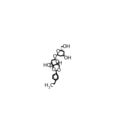 C=Cc1ccc(C2OC[C@H]3O[C@H](OC4C[C@@H](O)C[C@@H](CO)O4)C[C@@H](O)[C@@H]3O2)cc1